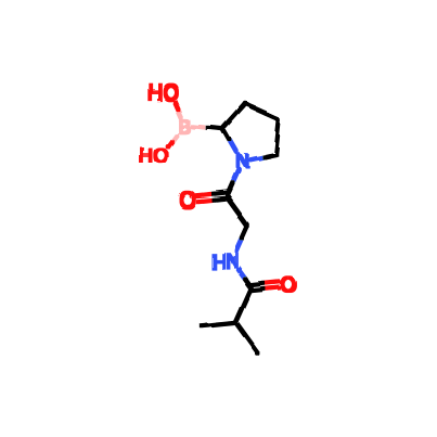 CC(C)C(=O)NCC(=O)N1CCCC1B(O)O